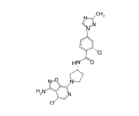 Cc1ncn(-c2ccc(C(=O)N[C@@H]3CCN(c4ncc(Cl)c5c(N)noc45)C3)c(Cl)c2)n1